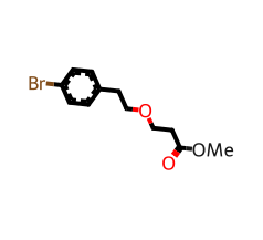 COC(=O)CCOCCc1ccc(Br)cc1